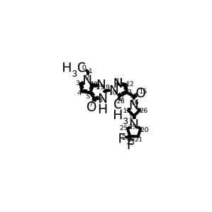 CCn1ccc2c(=O)[nH]c(-n3ncc(C(=O)N4CC(N5CCC(F)(F)C5)C4)c3C)nc21